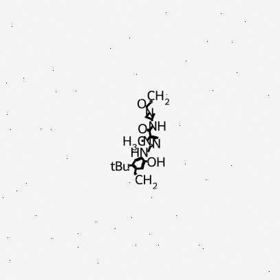 C=CC(=O)N1CC(NC(=O)c2cnc(CNc3cc(C(C)(C)C)c(C=C)cc3O)n2C)C1